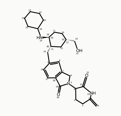 C=C1CCC(N2Cc3cc(C[C@H]4C[C@@H](CO)CC[C@@H]4NC4CCCCC4)ccc3C2=O)C(=O)N1